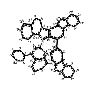 c1ccc(-c2nc(-n3c4c(-c5ccc6sc7ccccc7c6c5)cc5c6ccccc6oc5c4c4ccc5ccccc5c43)nc3ccccc23)cc1